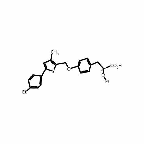 CCO[C@@H](Cc1ccc(OCc2sc(-c3ccc(CC)cc3)cc2C)cc1)C(=O)O